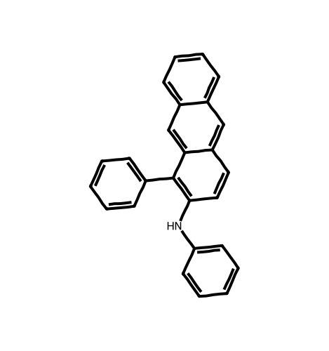 c1ccc(Nc2ccc3cc4ccccc4cc3c2-c2ccccc2)cc1